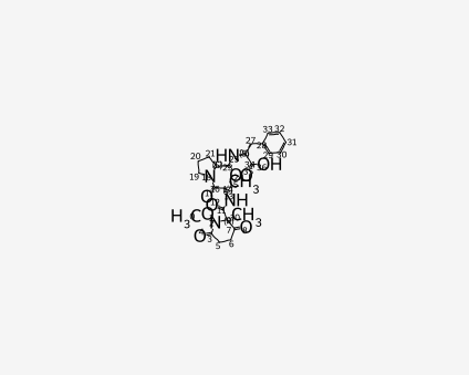 CON1C(=O)CCC(=O)[C@]1(C)C(=O)N[C@@H](C)C(=O)N1CCC[C@H]1C(=O)N[C@@H](Cc1ccccc1)C(=O)O